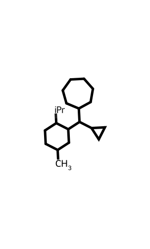 CC1CCC(C(C)C)C(C(C2CCCCCC2)C2CC2)C1